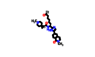 CCC(=O)CCCCC[C@H](NC(=O)[C@H]1CC12CCN(C)CC2)c1ncc(-c2ccc3c(=O)n(C)ccc3c2)[nH]1